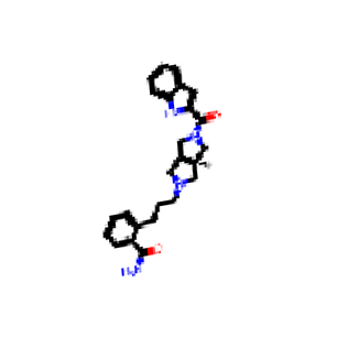 NC(=O)c1ccccc1[CH]CCN1CC2CN(C(=O)c3cc4ccccc4[nH]3)C[C@@H]2C1